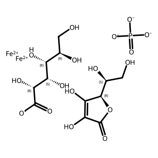 O=C([O-])[C@H](O)[C@@H](O)[C@H](O)[C@H](O)CO.O=C1O[C@H]([C@@H](O)CO)C(O)=C1O.O=P([O-])([O-])[O-].[Fe+2].[Fe+2]